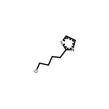 [O]CCCCc1nccs1